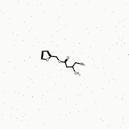 CC(CC(=O)OCc1ccco1)CC(C)(C)C